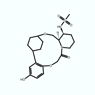 CS(=O)(=O)N[C@H]1CCCN2C(=O)COc3ccc(O)cc3C3CCC(CC3)OC[C@@H]12